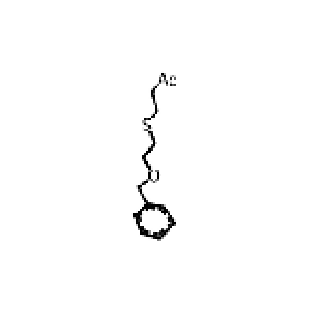 CC(=O)CCSCCOCc1ccccc1